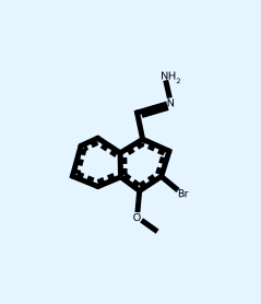 COc1c(Br)cc(C=NN)c2ccccc12